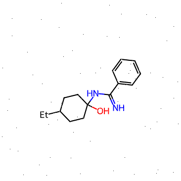 CCC1CCC(O)(NC(=N)c2ccccc2)CC1